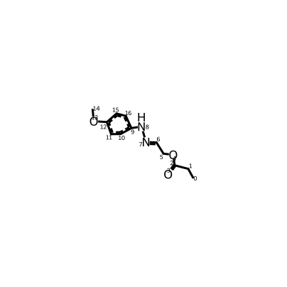 CCC(=O)OCC=NNc1ccc(OC)cc1